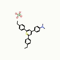 CCc1ccc(-c2cc(-c3ccc(N(C)C)cc3)cc(-c3ccc(CC)cc3)[s+]2)cc1.[O-][Cl+3]([O-])([O-])[O-]